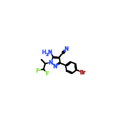 CC(C(F)F)n1nc(-c2ccc(Br)cc2)c(C#N)c1N